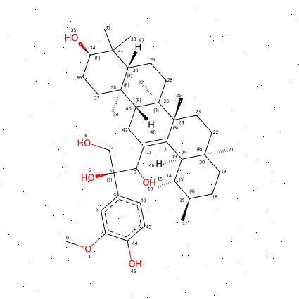 COc1cc([C@](O)(CO)C(O)C2=C3[C@@H]4[C@@H](C)[C@H](C)CC[C@]4(C)CC[C@@]3(C)[C@]3(C)CC[C@H]4C(C)(C)[C@H](O)CC[C@]4(C)[C@H]3C2)ccc1O